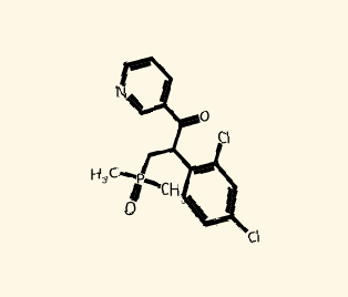 CP(C)(=O)CC(C(=O)c1cccnc1)c1ccc(Cl)cc1Cl